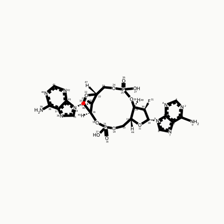 Nc1ncnc2c1ncn2[C@@H]1O[C@@H]2COP(=O)(O)O[C@@H]3[C@@H](F)[C@@H](COP(=O)(O)O[C@H]2[C@H]1F)O[C@H]3n1cnc2c(N)ncnc21